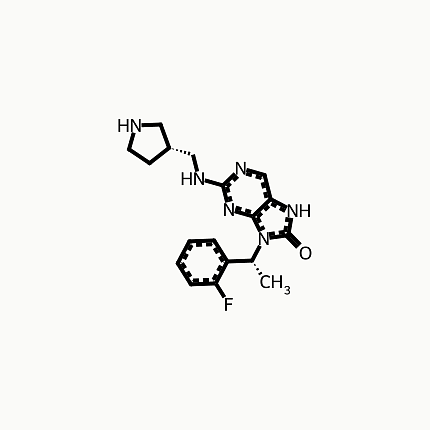 C[C@H](c1ccccc1F)n1c(=O)[nH]c2cnc(NC[C@@H]3CCNC3)nc21